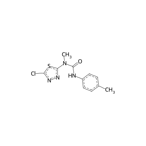 Cc1ccc(NC(=O)N(C)c2nnc(Cl)s2)cc1